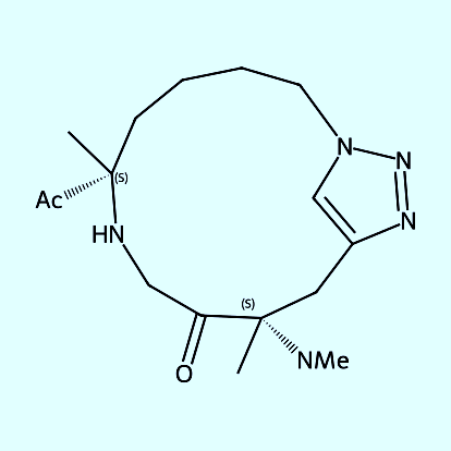 CN[C@@]1(C)Cc2cn(nn2)CCCC[C@@](C)(C(C)=O)NCC1=O